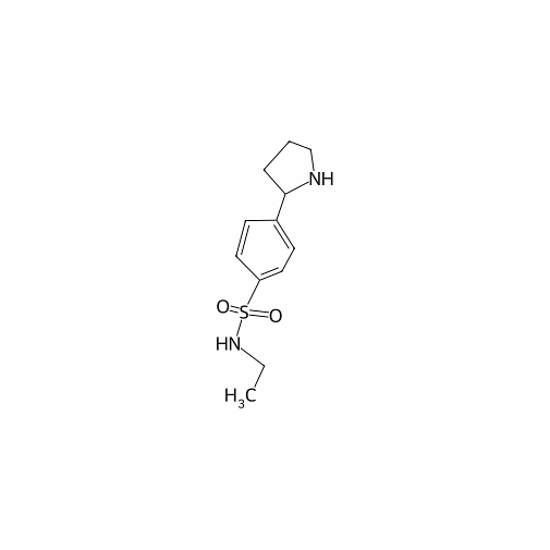 CCNS(=O)(=O)c1ccc(C2CCCN2)cc1